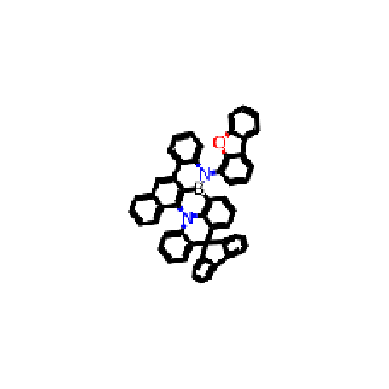 c1ccc2c(c1)-c1cc3ccccc3c3c1B(c1cccc4c1N3c1ccccc1C41c3ccccc3-c3ccccc31)N2c1cccc2c1oc1ccccc12